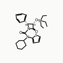 CC[Si](CC)(CC)O[C@@H]1C(=O)N(C(=O)N(c2cccs2)C2CCCCC2)[C@@H]1c1ccccc1